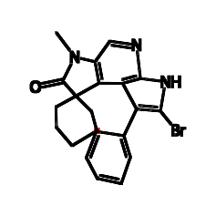 CN1C(=O)C2(CCCCC2)c2c1cnc1[nH]c(Br)c(-c3ccccc3)c21